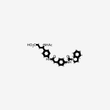 CC(=O)NC(CCC(=O)O)c1ccc(NC(=O)Cc2ccc(NC(=O)N3CCc4ccccc43)cc2)cc1